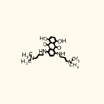 CN(C)CCCNc1ccc(NCCCN(C)C)c2c1C(=O)c1c(O)ccc(O)c1C2=O